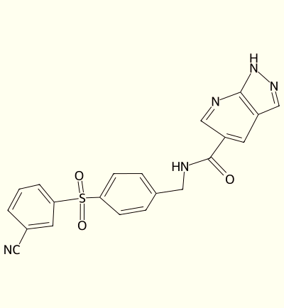 N#Cc1cccc(S(=O)(=O)c2ccc(CNC(=O)c3cnc4[nH]ncc4c3)cc2)c1